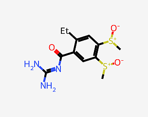 CCc1cc([S+](C)[O-])c([S+](C)[O-])cc1C(=O)N=C(N)N